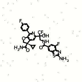 NC(=O)[C@]1(C2CC2)COc2c1cc(C(O)(CNC(=O)c1cc(F)c3nc(N)sc3c1)C(F)(F)F)nc2-c1ccc(F)cc1